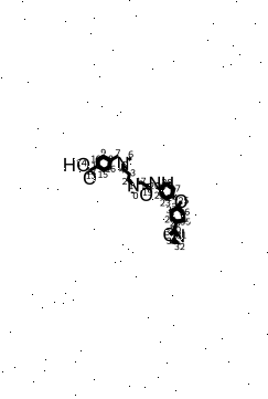 CN(CCCN(C)Cc1ccc(C(=O)O)cc1)CC(=O)Nc1ccc(Oc2ccc(-c3ncco3)cc2)cc1